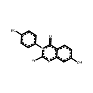 CC(C)c1nc2cc(O)ccc2c(=O)n1-c1ccc(C#N)cc1